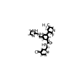 Cc1cnc(F)c(-c2cc(CNC3=NCCN3)cc(C(=O)NCc3cc(Cl)ccn3)c2)c1